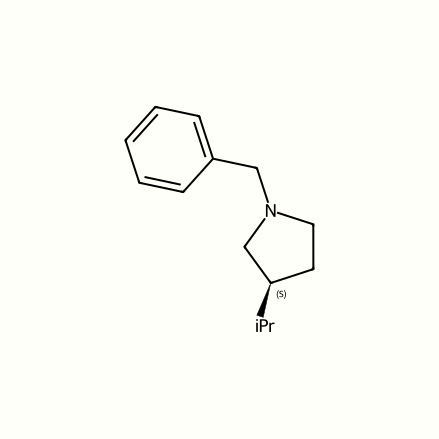 CC(C)[C@@H]1CCN(Cc2ccccc2)C1